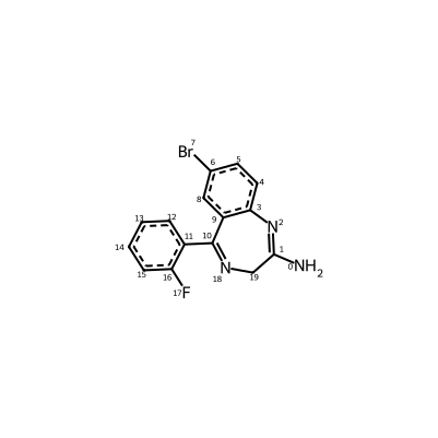 NC1=Nc2ccc(Br)cc2C(c2ccccc2F)=NC1